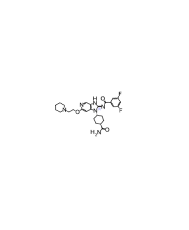 NC(=O)[C@H]1CC[C@H](n2/c(=N/C(=O)c3cc(F)cc(F)c3)[nH]c3cnc(OCCN4CCCCC4)cc32)CC1